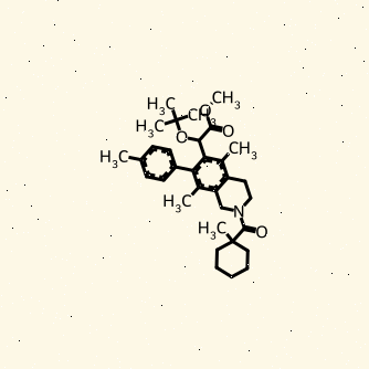 COC(=O)C(OC(C)(C)C)c1c(C)c2c(c(C)c1-c1ccc(C)cc1)CN(C(=O)C1(C)CCCCC1)CC2